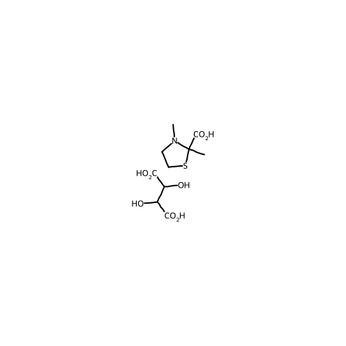 CN1CCSC1(C)C(=O)O.O=C(O)C(O)C(O)C(=O)O